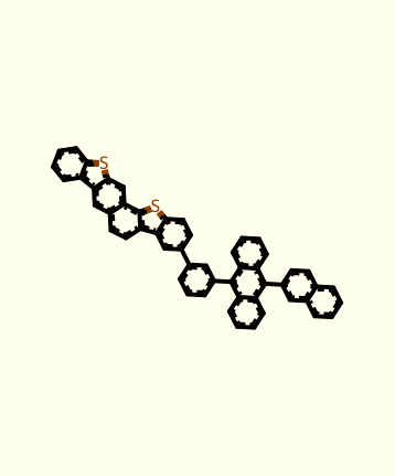 c1cc(-c2ccc3sc4c5cc6sc7ccccc7c6cc5ccc4c3c2)cc(-c2c3ccccc3c(-c3ccc4ccccc4c3)c3ccccc23)c1